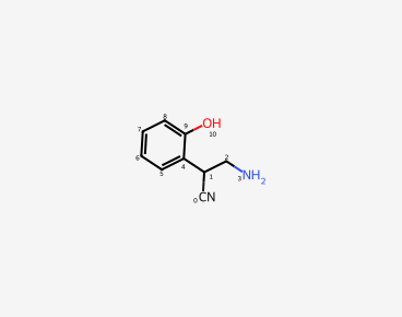 N#CC(CN)c1ccccc1O